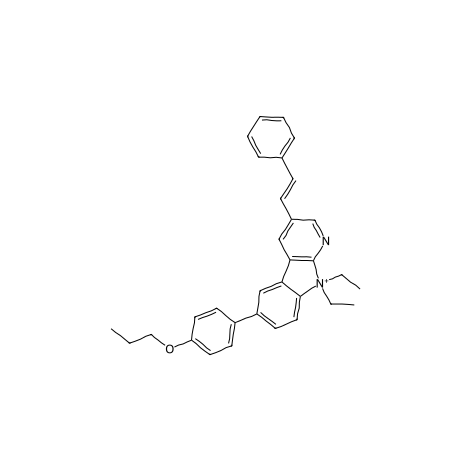 CCCOc1ccc(-c2ccc3c(c2)-c2cc(C=Cc4ccccc4)cnc2[N+]3(CC)CC)cc1